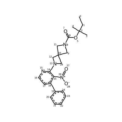 CCC(C)(C)OC(=O)N1CC2(C1)CN(c1nccc(-c3ccccc3)c1[N+](=O)[O-])C2